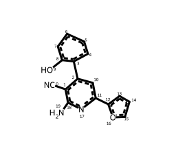 N#Cc1c(-c2ccccc2O)cc(-c2ccco2)nc1N